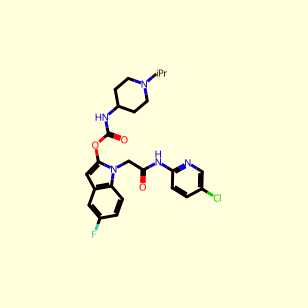 CC(C)N1CCC(NC(=O)Oc2cc3cc(F)ccc3n2CC(=O)Nc2ccc(Cl)cn2)CC1